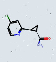 NC(=O)[C@H]1C[C@@H]1c1cc(Cl)ccn1